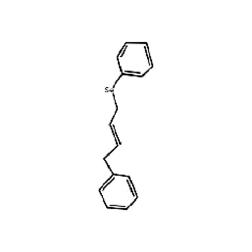 C(=CCc1ccccc1)C[Se]c1ccccc1